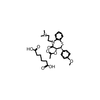 COc1ccc([C@@H]2Sc3ccccc3N(CCN(C)C)C(=O)[C@@H]2OC(C)=O)cc1.O=C(O)CCCCC(=O)O